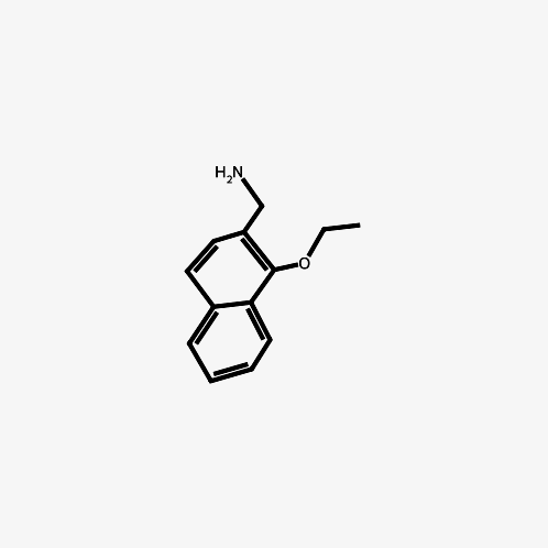 CCOc1c(CN)ccc2ccccc12